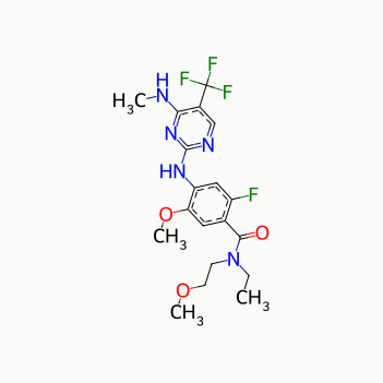 CCN(CCOC)C(=O)c1cc(OC)c(Nc2ncc(C(F)(F)F)c(NC)n2)cc1F